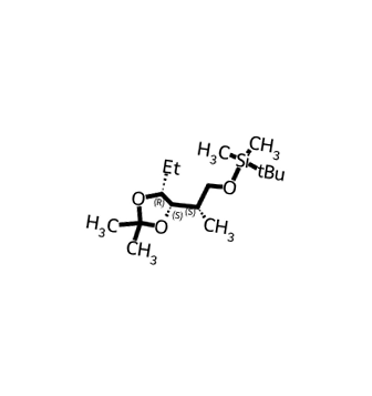 CC[C@H]1OC(C)(C)O[C@H]1[C@@H](C)CO[Si](C)(C)C(C)(C)C